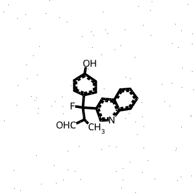 CC(C=O)C(F)(c1ccc(O)cc1)c1cnc2ccccc2c1